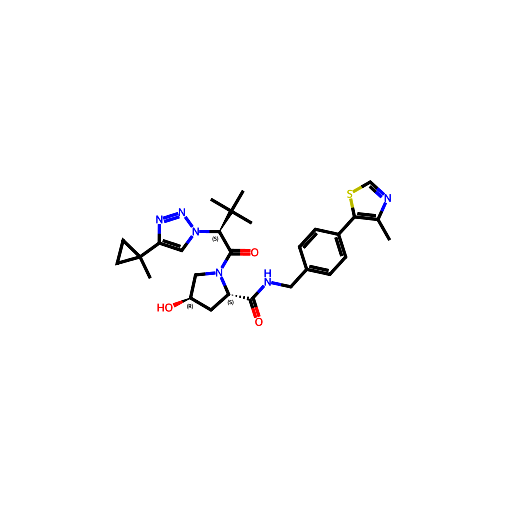 Cc1ncsc1-c1ccc(CNC(=O)[C@@H]2C[C@@H](O)CN2C(=O)[C@@H](n2cc(C3(C)CC3)nn2)C(C)(C)C)cc1